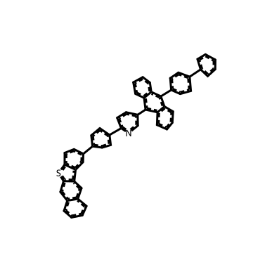 c1ccc(-c2ccc(-c3c4ccccc4c(-c4ccc(-c5ccc(-c6ccc7sc8cc9ccccc9cc8c7c6)cc5)nc4)c4ccccc34)cc2)cc1